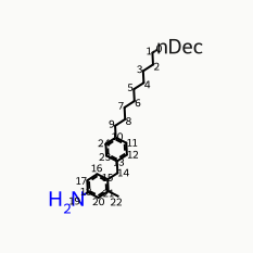 CCCCCCCCCCCCCCCCCCCc1ccc(Cc2ccc(N)cc2C)cc1